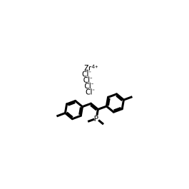 Cc1ccc(C=C(c2ccc(C)cc2)P(C)C)cc1.[Cl-].[Cl-].[Cl-].[Cl-].[Zr+4]